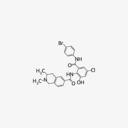 CC1Cc2cc(C(=O)Nc3c(O)cc(Cl)cc3C(=O)Nc3ccc(Br)cc3)ccc2CN1C